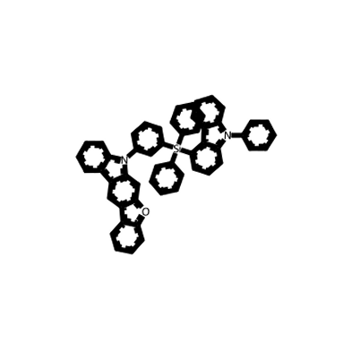 c1ccc(-n2c3ccccc3c3c([Si](c4ccccc4)(c4ccccc4)c4cccc(-n5c6ccccc6c6cc7c(cc65)oc5ccccc57)c4)cccc32)cc1